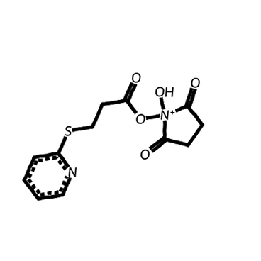 O=C(CCSc1ccccn1)O[N+]1(O)C(=O)CCC1=O